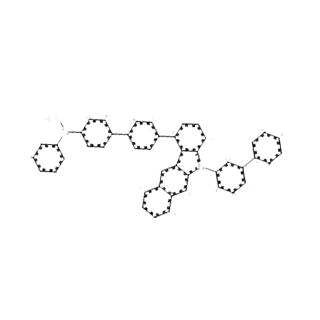 CN(c1ccccc1)c1ccc(-c2ccc(-c3cccc4c3c3cc5ccccc5cc3n4-c3cccc(-c4ccccc4)c3)cc2)cc1